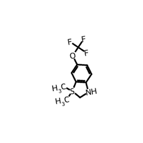 CS1(C)CNc2ccc(OC(F)(F)F)cc21